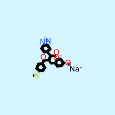 COc1ccc(C/C(C(=O)c2ccc(SC)cc2)=C(\C(=O)[O-])c2ccc3nsnc3c2)cc1.[Na+]